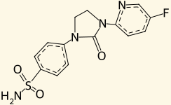 NS(=O)(=O)c1ccc(N2CCN(c3ccc(F)cn3)C2=O)cc1